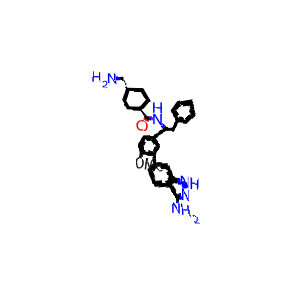 COc1ccc(C(Cc2ccccc2)NC(=O)[C@H]2CC[C@H](CN)CC2)cc1-c1ccc2c(N)n[nH]c2c1